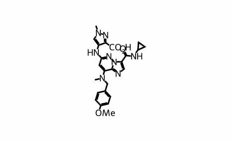 COc1ccc(CN(C)c2cc(Nc3cn(C)nc3C(=O)O)nn3c(C(=O)NC4CC4)cnc23)cc1